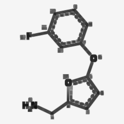 NCc1ccc(Oc2cccc(F)c2)o1